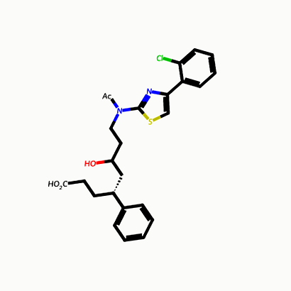 CC(=O)N(CCC(O)C[C@@H](CCC(=O)O)c1ccccc1)c1nc(-c2ccccc2Cl)cs1